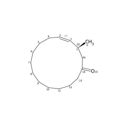 C[C@@H]1/C=C\CCCCCCCCCCC(=O)C1